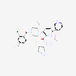 CCOC1(c2cccnc2)C=CC(N2CCN(C(=O)c3ccc(Cl)cc3C(F)(F)F)C[C@H]2CC)=C(C(=O)N[C@@H]2CNC[C@H]2F)N1